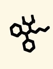 CCCCC(C(OC)OC)N(C1CCCCC1)C1CCCCC1